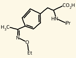 CCO/N=C(/C)c1ccc(CC(NC(C)C)C(=O)O)cc1